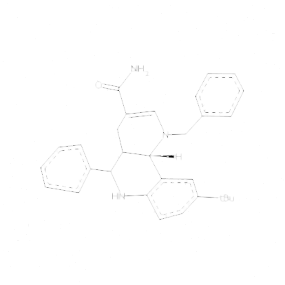 CC(C)(C)c1ccc2c(c1)[C@@H]1C(CC(C(N)=O)=CN1Cc1ccccc1)C(c1ccccc1)N2